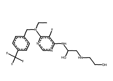 CCN(Cc1ccc(C(F)(F)F)cc1)c1ncnc(NC(O)CNCCO)c1F